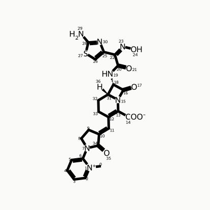 C[n+]1ccccc1N1CCC(=CC2=C(C(=O)[O-])N3C(=O)[C@@H](NC(=O)/C(=N\O)c4csc(N)n4)[C@H]3CC2)C1=O